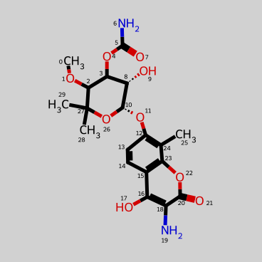 COC1C(OC(N)=O)[C@H](O)[C@H](Oc2ccc3c(O)c(N)c(=O)oc3c2C)OC1(C)C